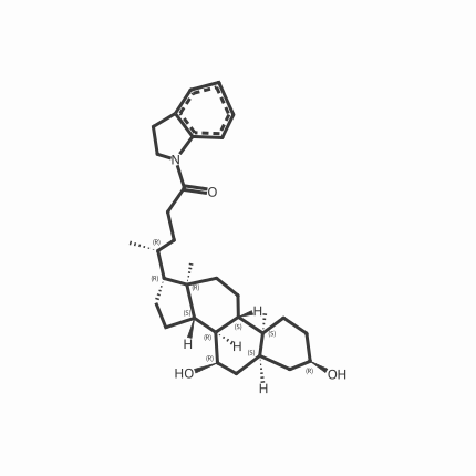 C[C@H](CCC(=O)N1CCc2ccccc21)[C@H]1CC[C@H]2[C@@H]3[C@H](O)C[C@@H]4C[C@H](O)CC[C@]4(C)[C@H]3CC[C@]12C